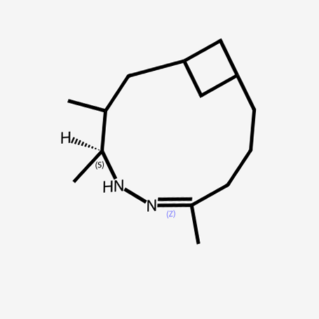 C/C1=N/N[C@@H](C)C(C)CC2CC(CCC1)C2